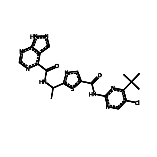 CC(NC(=O)c1ncnc2[nH]ncc12)c1ncc(C(=O)Nc2ncc(Cl)c(C(C)(C)C)n2)s1